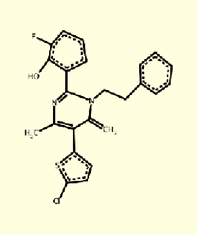 C=C1C(c2ccc(Cl)s2)=C(C)N=C(c2cccc(F)c2O)N1CCc1ccccc1